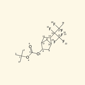 CC(C)(C)OC(=O)OC1CC2CC1CC2C(F)(C(C)(F)F)C(F)(F)F